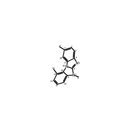 Cc1ccc2nc3n(C)c4cccc(C)c4n3c2c1